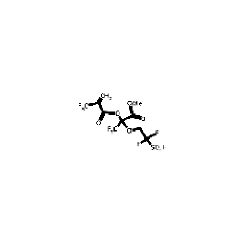 C=C(C(=O)OC(OCC(F)(F)S(=O)(=O)O)(C(=O)OC)C(F)(F)F)C(F)(F)F